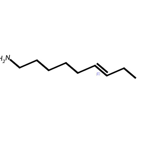 CC/C=C/CCCCCN